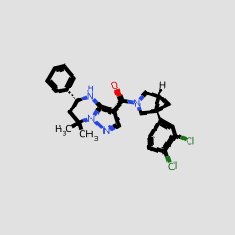 CC1(C)C[C@H](c2ccccc2)Nc2c(C(=O)N3C[C@@H]4C[C@]4(c4ccc(Cl)c(Cl)c4)C3)cnn21